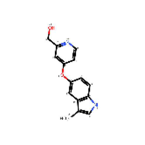 O=C(O)c1c[nH]c2ccc(Oc3ccnc(CO)c3)cc12